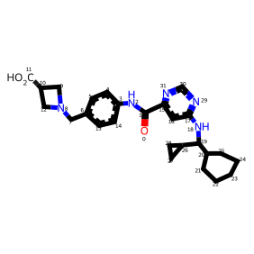 O=C(Nc1ccc(CN2CC(C(=O)O)C2)cc1)c1cc(NC(C2CCCCC2)C2CC2)ncn1